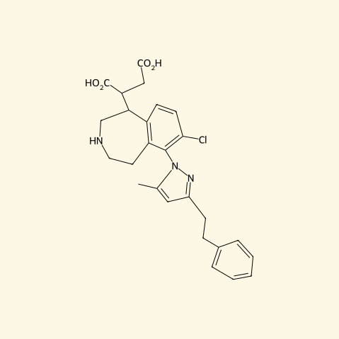 Cc1cc(CCc2ccccc2)nn1-c1c(Cl)ccc2c1CCNCC2C(CC(=O)O)C(=O)O